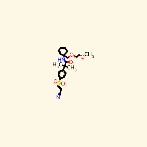 COCCOCC1(NC(=O)C(C)(C)c2ccc(S(=O)(=O)C=CC#N)cc2)C=CC=CC1